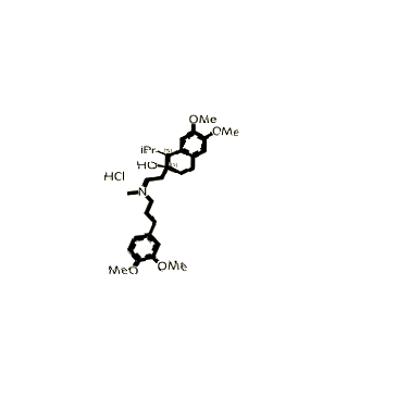 COc1ccc(CCCN(C)CC[C@@]2(O)CCc3cc(OC)c(OC)cc3[C@@H]2C(C)C)cc1OC.Cl